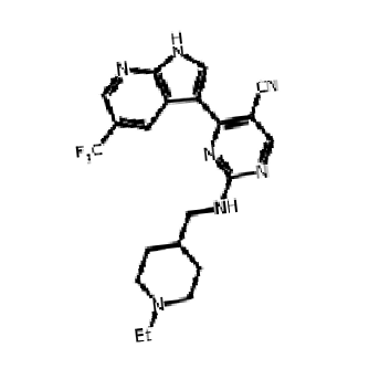 CCN1CCC(CNc2ncc(C#N)c(-c3c[nH]c4ncc(C(F)(F)F)cc34)n2)CC1